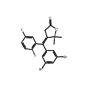 CC1(C)OC(=O)CC1=C(c1cc(Br)cc(Br)c1)c1cc(F)ccc1F